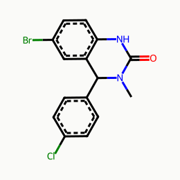 CN1C(=O)Nc2ccc(Br)cc2C1c1ccc(Cl)cc1